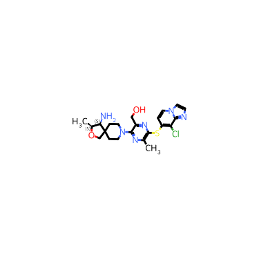 Cc1nc(N2CCC3(CC2)CO[C@@H](C)[C@H]3N)c(CO)nc1Sc1ccn2ccnc2c1Cl